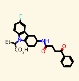 CCC(C(=O)O)n1c2c(c3cc(F)ccc31)CC(NC(=O)CCC(=O)c1ccccc1)CC2